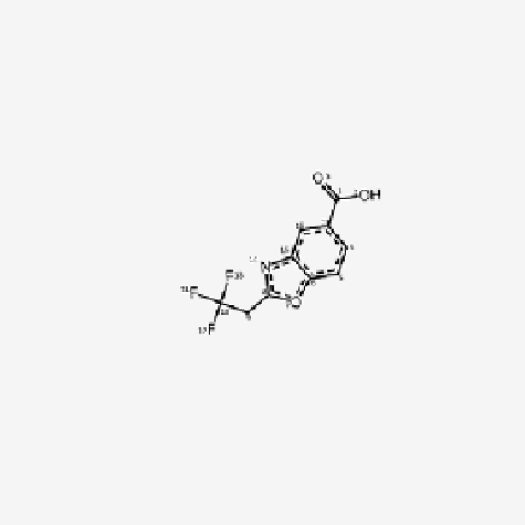 O=C(O)c1ccc2oc(CC(F)(F)F)nc2c1